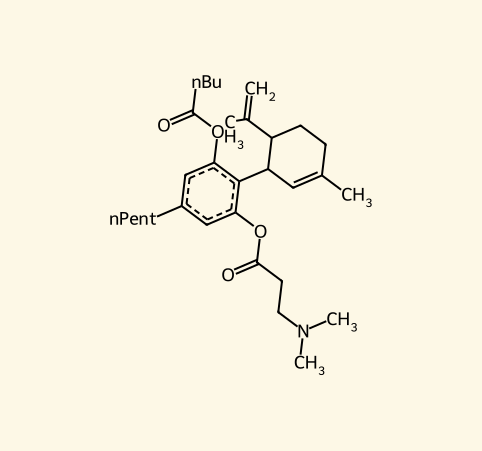 C=C(C)C1CCC(C)=CC1c1c(OC(=O)CCCC)cc(CCCCC)cc1OC(=O)CCN(C)C